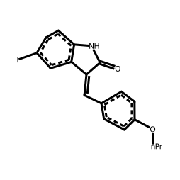 CCCOc1ccc(C=C2C(=O)Nc3ccc(I)cc32)cc1